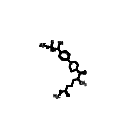 COC(=O)CCCN(C)C(=O)C1CCN(c2ccc(C(=N)NC(=O)OC)cc2)CC1